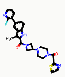 Cc1c(C(=O)N2CC(N3CCN(C(=O)c4nccs4)CC3)C2)[nH]c2ccc(-c3cccnc3F)cc12